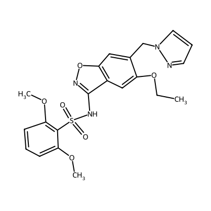 CCOc1cc2c(NS(=O)(=O)c3c(OC)cccc3OC)noc2cc1Cn1cccn1